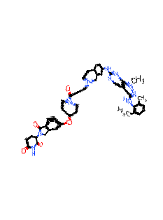 Cc1cccc(C)c1Nc1nn(C)c2nc(Nc3ccc4c(c3)CN(CC(=O)N3CCC(Oc5ccc6c(c5)CN(C5CCC(=O)NC5=O)C6=O)CC3)CC4)ncc12